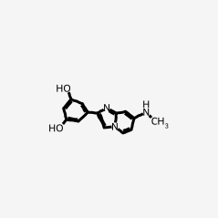 CNc1ccn2cc(-c3cc(O)cc(O)c3)nc2c1